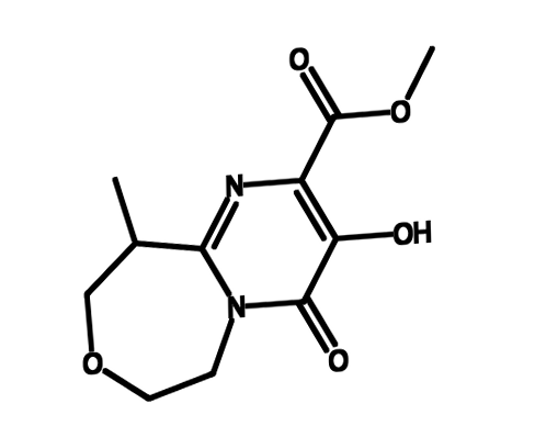 COC(=O)c1nc2n(c(=O)c1O)CCOCC2C